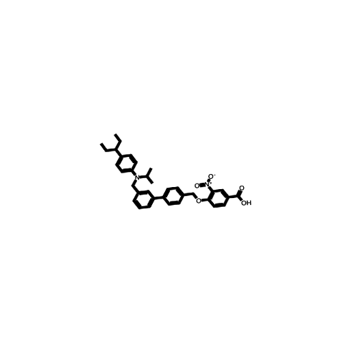 CCC(CC)c1ccc(N(Cc2cccc(-c3ccc(COc4ccc(C(=O)O)cc4[N+](=O)[O-])cc3)c2)C(C)C)cc1